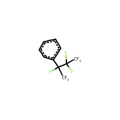 FC(F)(F)C(F)(F)C(F)(c1ccccc1)C(F)(F)F